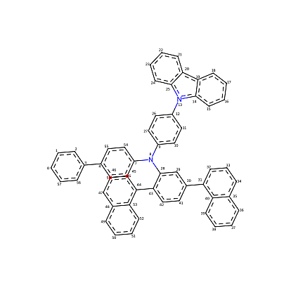 c1ccc(-c2ccc(N(c3ccc(-n4c5ccccc5c5ccccc54)cc3)c3cc(-c4cccc5ccccc45)ccc3-c3cccc4ccccc34)cc2)cc1